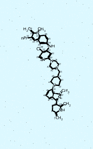 C=C1CCC(c2nn(C)c3c(N4CCC(CN5CCN(c6cc(Nc7ccc8c(c7)C=C(CCC)C(=C)N8C)c(Cl)cn6)CC5)CC4)cccc23)C(=C)N1